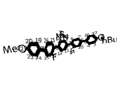 CCCCOc1ccc(-c2ccc(-c3ccc(-c4ccc(-c5ccc(OC)cc5)cc4F)c4nsnc34)c(F)c2)cc1